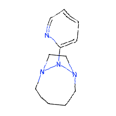 c1ccc(N2N3CCCCN2CC3)nc1